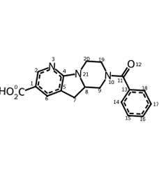 O=C(O)c1cnc2c(c1)CC1CN(C(=O)c3ccccc3)CCN21